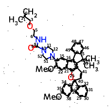 C=C(C)COCCNC(=O)N1CCN(c2cc3c4c(c5c(c3cc2OC)OC(c2ccccc2)(c2ccc(OC)cc2)C=C5)C(C)(C)c2ccccc2-4)CC1